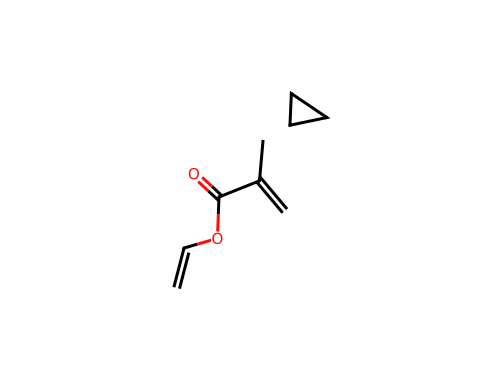 C1CC1.C=COC(=O)C(=C)C